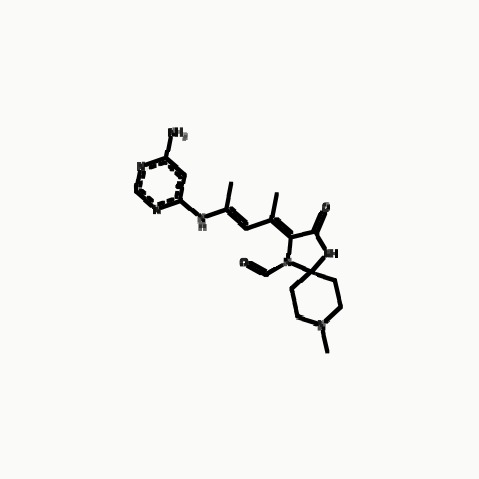 CC(/C=C(\C)Nc1cc(N)ncn1)=C1\C(=O)NC2(CCN(C)CC2)N1C=O